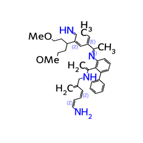 C=C(/C=C\C=C/N)CNC(=C)c1c(/N=C(C)/C(/C=C(\C=N)C(CCOC)CCOC)=C/C)cccc1-c1ccccc1